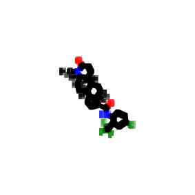 CN1C(=O)C=C[C@]2(C)[C@H]3CC[C@]4(C)[C@@H](C(=O)Nc5ccc(Cl)cc5C(F)(F)F)CC[C@H]4[C@@H]3CC[C@@H]12